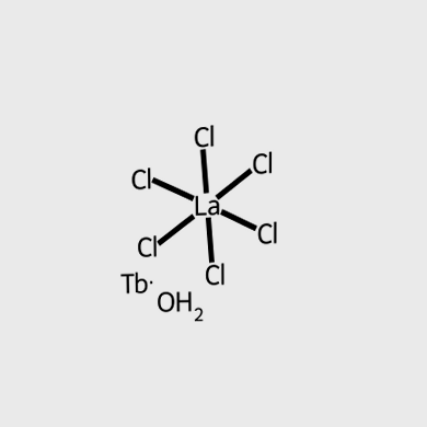 O.[Cl][La]([Cl])([Cl])([Cl])([Cl])[Cl].[Tb]